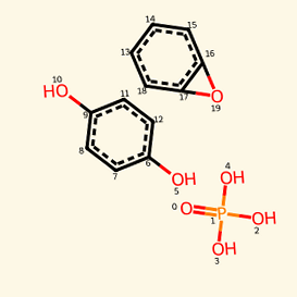 O=P(O)(O)O.Oc1ccc(O)cc1.c1ccc2c(c1)O2